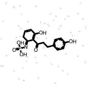 O=C(CCc1ccc(O)cc1)C1=C(O)C=CCC1=NP(=O)(O)O